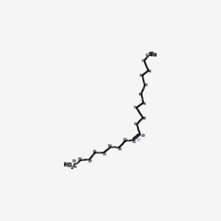 [CH2]C([CH2])([CH2])CCCCCCCCC/C=C\CCCCCCCC(=O)O